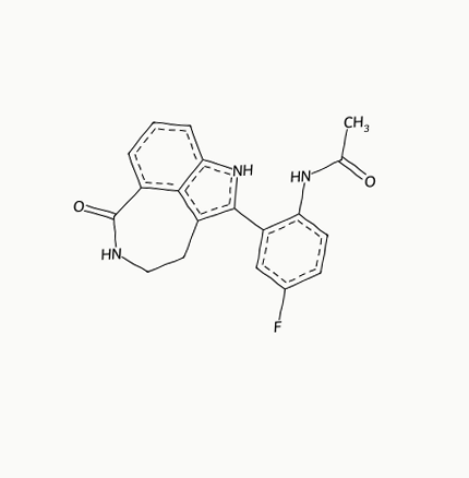 CC(=O)Nc1ccc(F)cc1-c1[nH]c2cccc3c2c1CCNC3=O